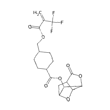 C=C(C(=O)OCC1CCC(C(=O)OC2C3CC4C(=O)OC2C4O3)CC1)C(F)(F)F